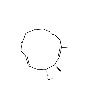 C/C1=C/[C@@H](C)[C@H](O)C/C=C/CCCCCOC1